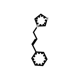 C(=Cc1ccccc1)Cn1ccnc1